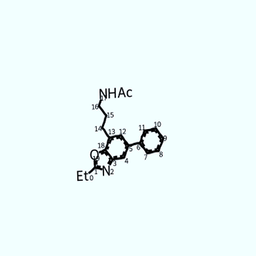 CCc1nc2cc(-c3ccccc3)cc(CCCNC(C)=O)c2o1